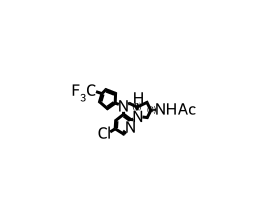 CC(=O)N[C@@H]1C[C@@H]2CN(c3ccc(C(F)(F)F)cc3)c3cc(Cl)cnc3N2C1